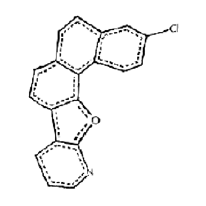 Clc1ccc2c(ccc3ccc4c5cccnc5oc4c32)c1